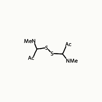 CNC(SSC(NC)C(C)=O)C(C)=O